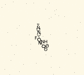 COc1ccc(-c2nc3cc(F)c(C4CCN(C5CCN(C6CC6)CC5)CC4)cc3[nH]2)cc1OC